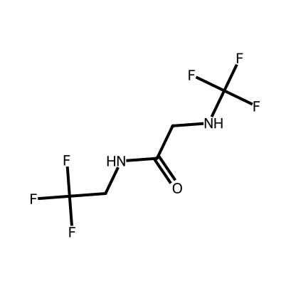 O=C(CNC(F)(F)F)NCC(F)(F)F